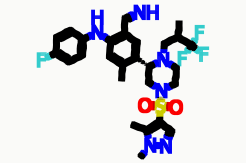 Cc1cc(Nc2ccc(F)cc2)c(C=N)cc1[C@H]1CN(S(=O)(=O)c2cnn(C)c2C)CCN1CC(C)C(F)(F)F